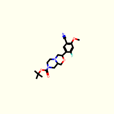 COc1cc(F)c(C2CN3CCN(C(=O)OC(C)(C)C)CC3CO2)cc1C#N